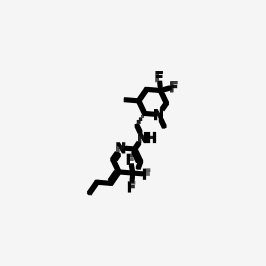 C\C=C(/N=C\C(=C/CC)C(F)(F)F)NC[C@@H]1C(C)CC(F)(F)CN1C